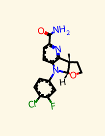 C[C@@]12CCO[C@@H]1N(c1ccc(Cl)c(F)c1)c1ccc(C(N)=O)nc12